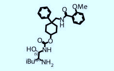 CC[C@H](C)[C@H](N)[C@H](O)NC(=O)OC1CCC(CNC(=O)c2ccccc2OC)(c2ccccc2)CC1